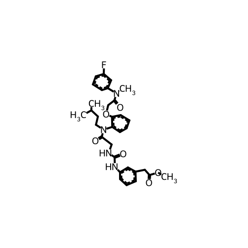 COC(=O)Cc1cccc(NC(=O)NCC(=O)N(CCC(C)C)c2ccccc2OCC(=O)N(C)c2cccc(F)c2)c1